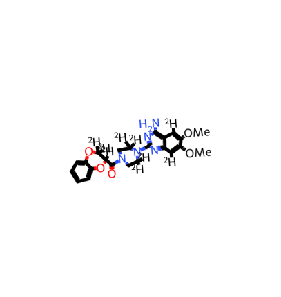 [2H]c1c(OC)c(OC)c([2H])c2c(N)nc(N3C([2H])([2H])CN(C(=O)C4([2H])Oc5ccccc5OC4([2H])[2H])CC3([2H])[2H])nc12